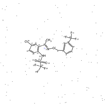 C/C(=N\OCc1cccc(C(F)(F)F)c1)c1cc(Cl)ccc1NS(=O)(=O)C(F)(F)F